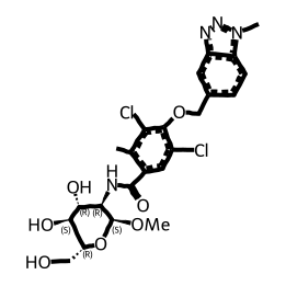 CO[C@H]1O[C@H](CO)[C@@H](O)[C@H](O)[C@H]1NC(=O)c1cc(Cl)c(OCc2ccc3c(c2)nnn3C)c(Cl)c1C